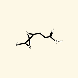 CCCCCCCC(=O)CCC1OC12OC2CC